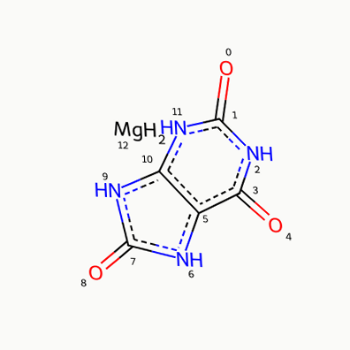 O=c1[nH]c(=O)c2[nH]c(=O)[nH]c2[nH]1.[MgH2]